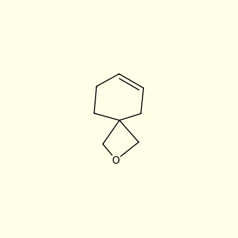 C1=CCC2(CC1)COC2